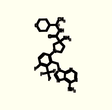 C[C@@H](NC(=O)C1(N)CCN(c2ccc(F)c(C(F)(F)F)c2Cn2cnc3c(N)ncnc32)C1)C1CCOCC1